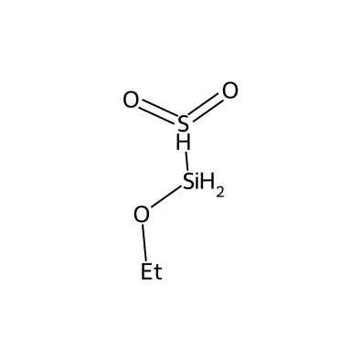 CCO[SiH2][SH](=O)=O